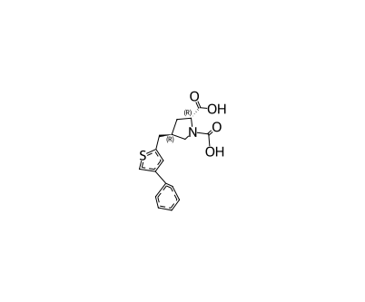 O=C(O)[C@H]1C[C@H](Cc2cc(-c3ccccc3)cs2)CN1C(=O)O